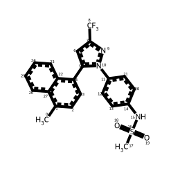 Cc1ccc(-c2cc(C(F)(F)F)nn2-c2ccc(NS(C)(=O)=O)cc2)c2ccccc12